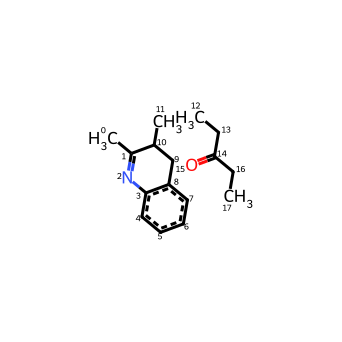 CC1=Nc2ccccc2CC1C.CCC(=O)CC